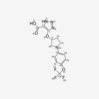 O=C(O)c1[nH]nnc1OC1CCN(c2ccc(OC(F)(F)F)cc2)C1